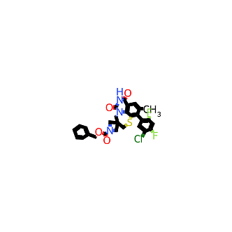 Cc1cc2c(=O)[nH]c(=O)n3c2c(c1-c1cc(Cl)c(F)cc1F)SCC1(CN(C(=O)OCc2ccccc2)C1)C3